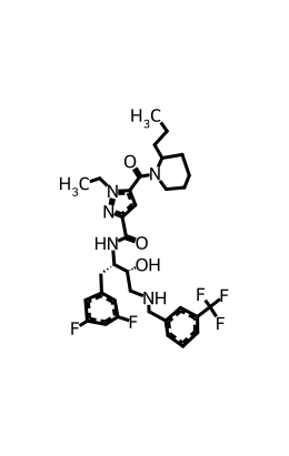 CCCC1CCCCN1C(=O)c1cc(C(=O)N[C@@H](Cc2cc(F)cc(F)c2)[C@H](O)CNCc2cccc(C(F)(F)F)c2)nn1CC